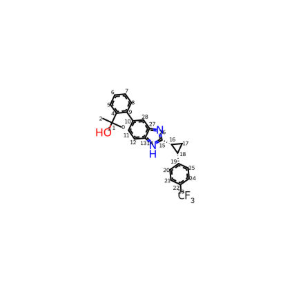 CC(C)(O)c1ccccc1-c1ccc2[nH]c([C@@H]3C[C@@H]3c3ccc(C(F)(F)F)cc3)nc2c1